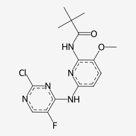 COc1ccc(Nc2nc(Cl)ncc2F)nc1NC(=O)C(C)(C)C